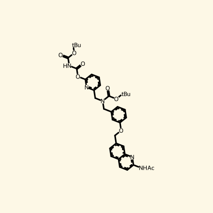 CC(=O)Nc1ccc2ccc(COc3cccc(CN(Cc4cccc(OC(=O)NC(=O)OC(C)(C)C)n4)C(=O)OC(C)(C)C)c3)cc2n1